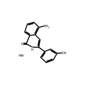 Br.N#Cc1cccc(-c2cc3c(N)cccc3c(=O)[nH]2)c1